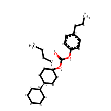 CCCC[C@]1(OC(=O)Oc2ccc(CCC)cc2)CC[C@@H](C2CCCCC2)CC1